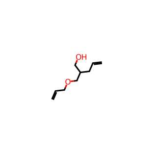 C=CCOCC(CO)CC=C